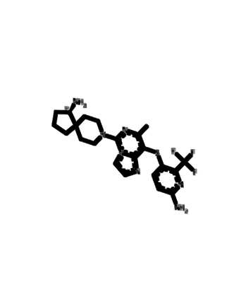 Cc1nc(N2CCC3(CCC[C@H]3N)CC2)n2ccnc2c1Sc1ccc(N)nc1C(F)(F)F